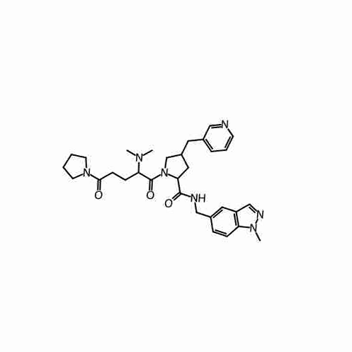 CN(C)C(CCC(=O)N1CCCC1)C(=O)N1CC(Cc2cccnc2)CC1C(=O)NCc1ccc2c(cnn2C)c1